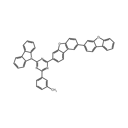 Cc1cccc(-c2nc(-c3ccc4c(c3)oc3ccc(-c5ccc6c(c5)oc5ccccc56)cc34)nc(-n3c4ccccc4c4ccccc43)n2)c1